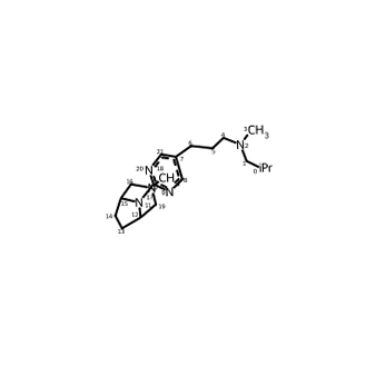 CC(C)CN(C)CCCc1cnc(N2C3CCC2CN(C)C3)nc1